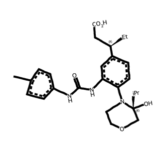 CC[C@H](CC(=O)O)c1ccc(N2CCOC[C@]2(O)C(C)C)c(NC(=O)Nc2ccc(C)cc2)c1